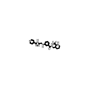 O=C(NCC1CCCNC1C(F)(F)F)c1cccc(NCc2nnc(-c3ccncc3)[nH]2)c1